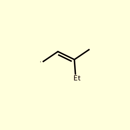 [CH2]/C=C(/C)CC